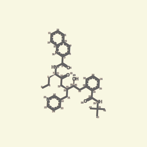 CCC[C@H](NC(=O)c1ccc2ccccc2n1)C(=O)C[C@H](Cc1cccnc1)[C@H](O)Cc1ccccc1C(=O)NC(C)(C)C